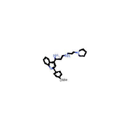 COc1ccc(-c2cc(C(N)CCNCCCN3CCCCC3)c3ccccc3n2)cc1